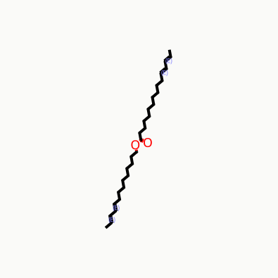 C/C=C/C=C/CCCCCCCCCCC(=O)OCCCCCCCCC/C=C/C=C/C